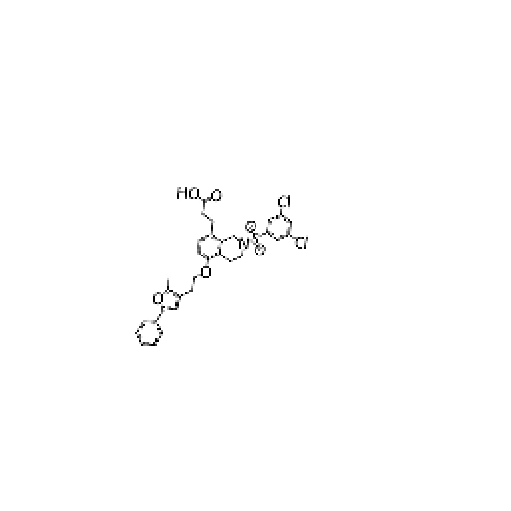 Cc1oc(-c2ccccc2)cc1CCOc1ccc(CCC(=O)O)c2c1CCN(S(=O)(=O)c1cc(Cl)cc(Cl)c1)C2